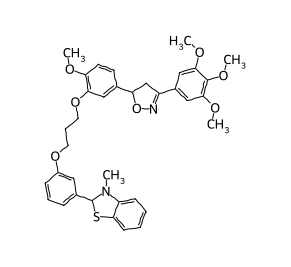 COc1ccc(C2CC(c3cc(OC)c(OC)c(OC)c3)=NO2)cc1OCCCOc1cccc(C2Sc3ccccc3N2C)c1